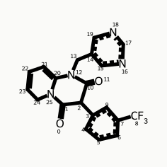 O=C1C(c2cccc(C(F)(F)F)c2)C(=O)N(Cc2cncnc2)C2=CC=CCN12